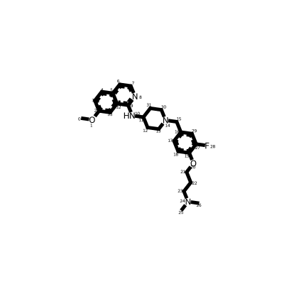 COc1ccc2ccnc(NC3CCN(Cc4ccc(OCCCN(C)C)c(F)c4)CC3)c2c1